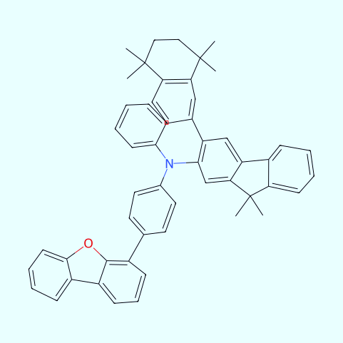 CC1(C)CCC(C)(C)c2cc(-c3cc4c(cc3N(c3ccccc3)c3ccc(-c5cccc6c5oc5ccccc56)cc3)C(C)(C)c3ccccc3-4)ccc21